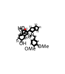 COc1ccc(CN2O[C@@]3(C(=O)CO)C(=CC(=O)C4=C[C@H](C)[C@@H](O)C[C@@]43C)C3=C2C2=C(CCC2)C3)cc1OC